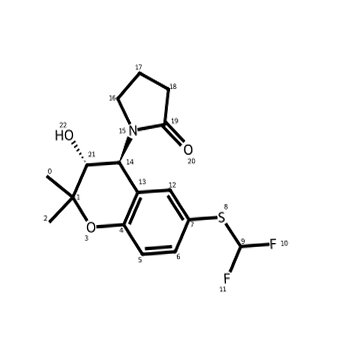 CC1(C)Oc2ccc(SC(F)F)cc2[C@H](N2CCCC2=O)[C@H]1O